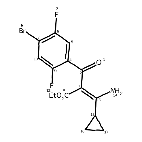 CCOC(=O)C(C(=O)c1cc(F)c(Br)cc1F)=C(N)C1CC1